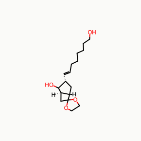 OCCCCCCC=C[C@@H]1C[C@H]2[C@@H](CC23OCCO3)C1O